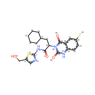 O=C(Nc1ncc(CO)s1)C(CC1CCCCC1)n1c(=O)[nH]c2ccc(F)cc2c1=O